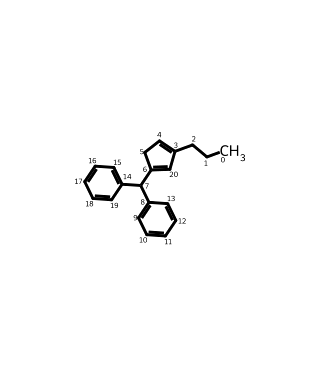 CCCC1=CCC(C(c2ccccc2)c2ccccc2)=C1